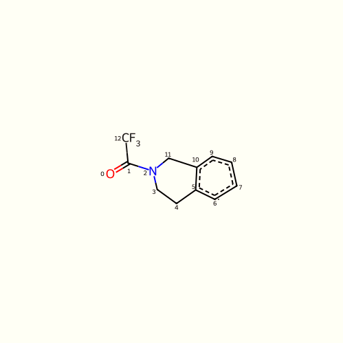 O=C(N1CCc2[c]cccc2C1)C(F)(F)F